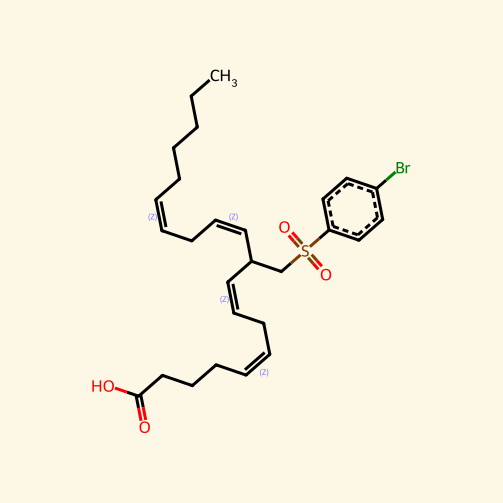 CCCCC/C=C\C/C=C\C(/C=C\C/C=C\CCCC(=O)O)CS(=O)(=O)c1ccc(Br)cc1